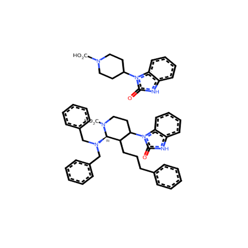 O=C(O)N1CCC(n2c(=O)[nH]c3ccccc32)C(CCCc2ccccc2)[C@H]1N(Cc1ccccc1)Cc1ccccc1.O=C(O)N1CCC(n2c(=O)[nH]c3ccccc32)CC1